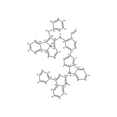 C=Cc1ccc(-c2ccc3c(c2)c2ccccc2n3-c2cc(-c3ccccc3)c3ccccc3n2)cc1Sc1c(Cc2ccccc2)c2c3ccccc3c3cccc1n32